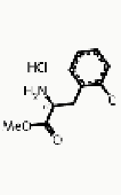 COC(=O)[C@@H](N)Cc1ccccc1Cl.Cl